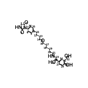 O=C1CNC(=O)N1c1ccc(CCCCOCCCCCCNC[C@@H](O)c2ccc(O)c(CO)c2)cc1